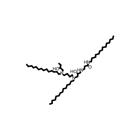 CCCCCCCCCCCCCCNC(=O)CCNCC(O)CN(CCCCCCCCCCCCCC)CCCCN(CCCCCCCCCCCCCC)CC(O)CC